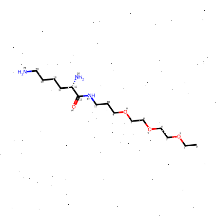 CCOCCOCCOCCCNC(=O)[C@@H](N)CCCCN